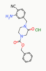 Cl.N#Cc1ccc(CN2CCN(C(=O)OCc3ccccc3)CC2=O)cc1N